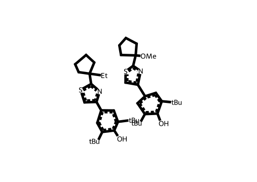 CCC1(c2nc(-c3cc(C(C)(C)C)c(O)c(C(C)(C)C)c3)cs2)CCCC1.COC1(c2nc(-c3cc(C(C)(C)C)c(O)c(C(C)(C)C)c3)cs2)CCCC1